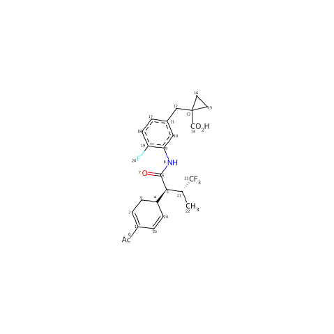 CC(=O)C1=CCC([C@@H](C(=O)Nc2cc(CC3(C(=O)O)CC3)ccc2F)[C@@H](C)C(F)(F)F)C=C1